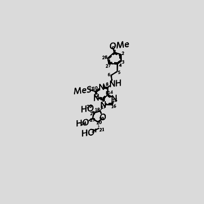 COc1ccc(CCNc2nc(SC)nc3c2ncn3[C@@H]2O[C@H](CO)[C@@H](O)[C@H]2O)cc1